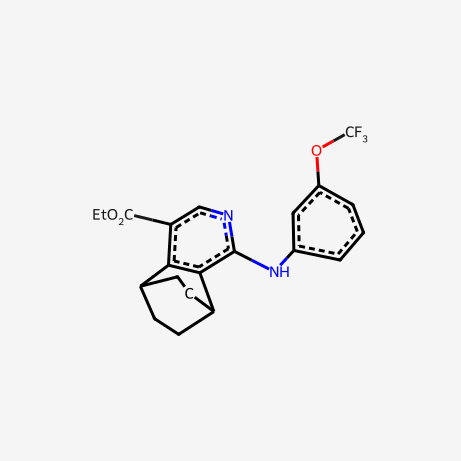 CCOC(=O)c1cnc(Nc2cccc(OC(F)(F)F)c2)c2c1C1CCC2CC1